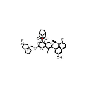 C#Cc1c(F)ccc2cc(O)cc(-c3ncc4c(N5CC6CCC(C5)N6S(N)(=O)=O)nc(OC[C@@]56CCCN5C[C@H](F)C6)nc4c3F)c12